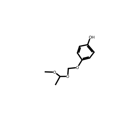 COC(C)OCOc1ccc(O)cc1